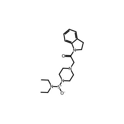 CCN(CC)[S+]([O-])N1CCN(CC(=O)N2CCc3ccccc32)CC1